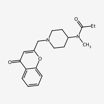 CCC(=O)N(C)C1CCN(Cc2cc(=O)c3ccccc3o2)CC1